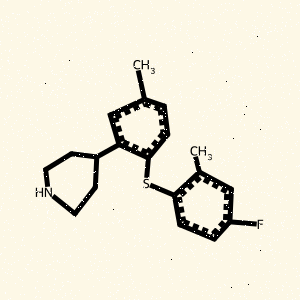 Cc1ccc(Sc2ccc(F)cc2C)c(C2CCNCC2)c1